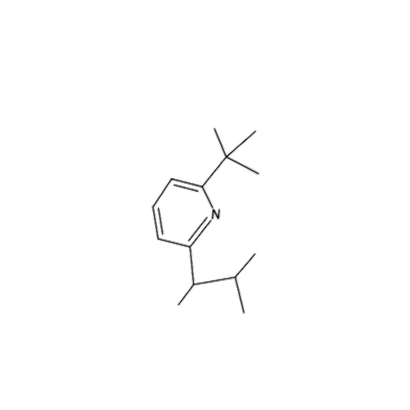 CC(C)C(C)c1cccc(C(C)(C)C)n1